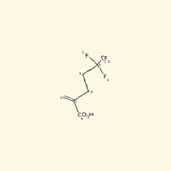 C=C(CCC(F)(F)C(F)(F)F)C(=O)O